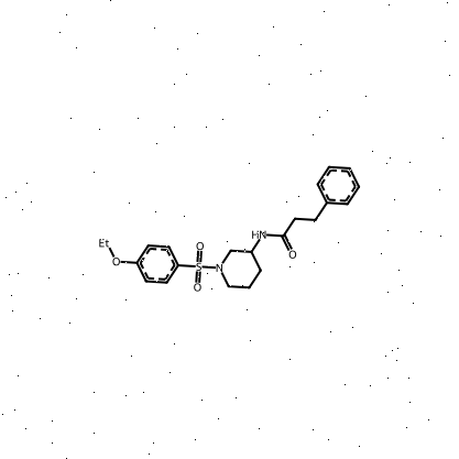 CCOc1ccc(S(=O)(=O)N2CCCC(NC(=O)CCc3ccccc3)C2)cc1